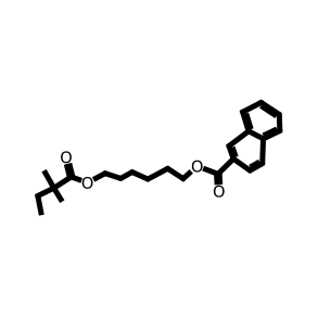 CCC(C)(C)C(=O)OCCCCCCOC(=O)c1ccc2ccccc2c1